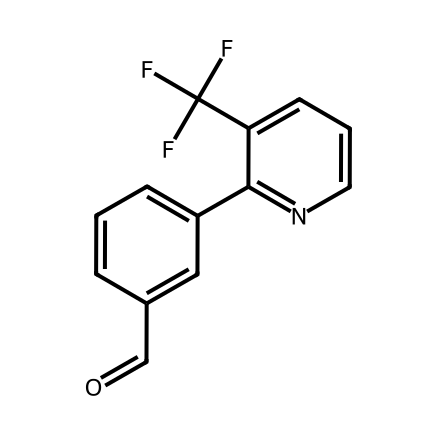 O=Cc1cccc(-c2ncccc2C(F)(F)F)c1